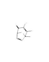 CC12C=CC(O1)C(=O)C(Br)=C2Br